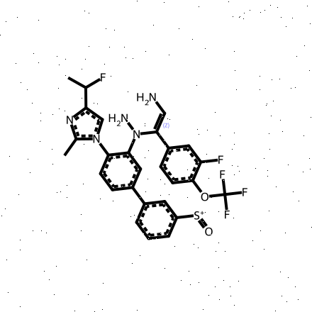 Cc1nc(C(C)F)cn1-c1ccc(-c2cccc([S+]=O)c2)cc1N(N)/C(=C\N)c1ccc(OC(F)(F)F)c(F)c1